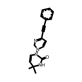 CC1(C)C=CN(N2C=CC(C#Cc3ccccc3)=NC2)C(=O)N1